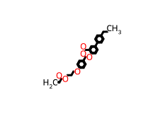 C=CC(=O)OCCCOc1ccc(C(=O)Oc2ccc(-c3ccc(CCC)cc3)cc2C=O)cc1